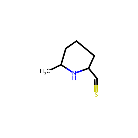 CC1CCCC(C=S)N1